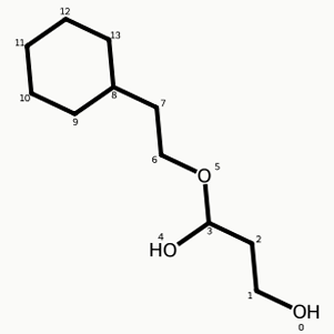 OCCC(O)OCCC1CCCCC1